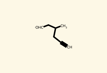 C#CCC(C)C[C]=O